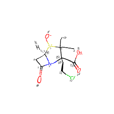 CC1(C)[S+]([O-])[C@@H]2CC(=O)N2[C@@]1(CCl)C(=O)O